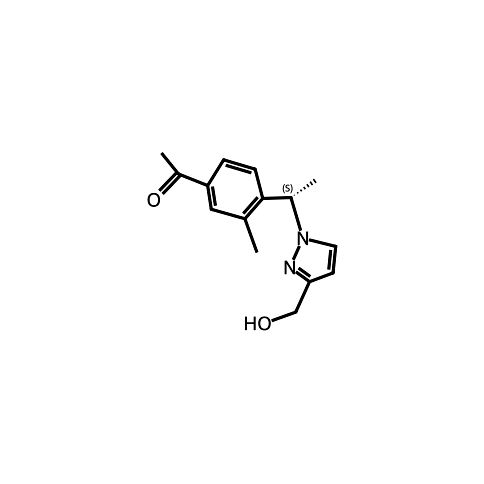 CC(=O)c1ccc([C@H](C)n2ccc(CO)n2)c(C)c1